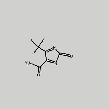 NC(=O)C1=NC(=O)N=C1C(F)(F)F